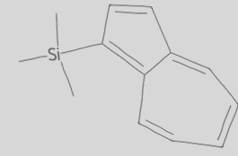 C[Si](C)(C)c1ccc2cccccc1-2